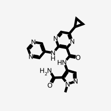 Cn1ncc(NC(=O)c2nc(C3CC3)cnc2Nc2cncnc2)c1C(N)=O